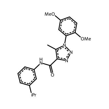 COc1ccc(OC)c(-n2nnc(C(=O)Nc3cccc(C(C)C)c3)c2C)c1